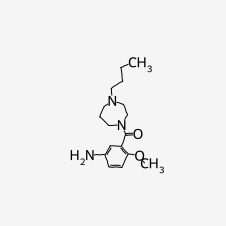 CCCCN1CCCN(C(=O)c2cc(N)ccc2OC)CC1